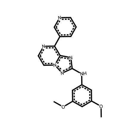 COc1cc(Nc2nc3c(-c4cccnc4)nccn3n2)cc(OC)c1